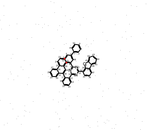 c1ccc(-c2cccc(-c3nc(-c4ccccc4-c4cc5ccccc5c5ccccc45)nc(-c4cccc5c4oc4ccccc45)n3)c2)cc1